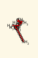 C=CNCCCC[C@H](NC(=O)[C@@H](NC(=O)CCOCCOCCOCCOCCOCCOCCOCCOCCOCCN)C(C)C)C(=O)Nc1ccc(COC(=O)N[C@H]2CCc3c(C)c(F)cc4nc5c(c2c34)Cn2c-5cc3c(c2=O)COC(=O)C3CC)cc1